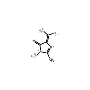 CC1=NC(=C(C)C)C(=O)N1C